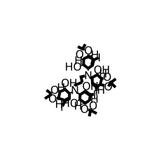 CC1(C)O[C@H]2[C@H](O)[C@@H](N(CC(O)CN([C@H]3C=C(I)[C@H]4OC(C)(C)O[C@H]4[C@@H]3O)[C@H]3C=C(I)[C@H]4OC(C)(C)O[C@H]4[C@@H]3O)[C@H]3C=C(I)[C@H]4OC(C)(C)O[C@H]4[C@@H]3O)C=C(I)[C@H]2O1